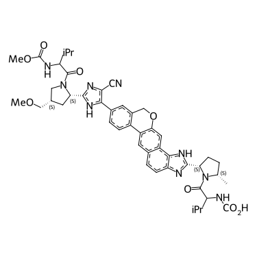 COC[C@H]1C[C@@H](c2nc(C#N)c(-c3ccc4c(c3)COc3cc5c(ccc6nc([C@@H]7CC[C@H](C)N7C(=O)C(NC(=O)O)C(C)C)[nH]c65)cc3-4)[nH]2)N(C(=O)C(NC(=O)OC)C(C)C)C1